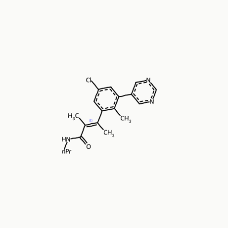 CCCNC(=O)/C(C)=C(\C)c1cc(Cl)cc(-c2cncnc2)c1C